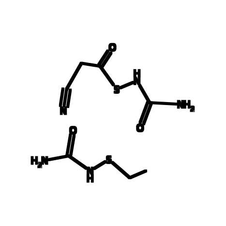 CCSNC(N)=O.N#CCC(=O)SNC(N)=O